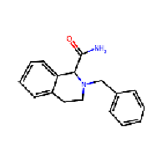 NC(=O)C1c2cc[c]cc2CCN1Cc1ccccc1